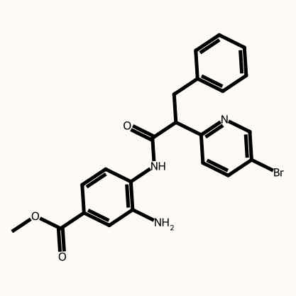 COC(=O)c1ccc(NC(=O)C(Cc2ccccc2)c2ccc(Br)cn2)c(N)c1